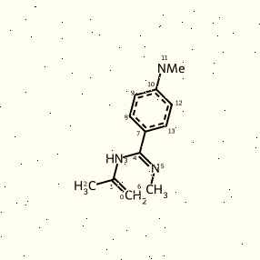 C=C(C)N/C(=N\C)c1ccc(NC)cc1